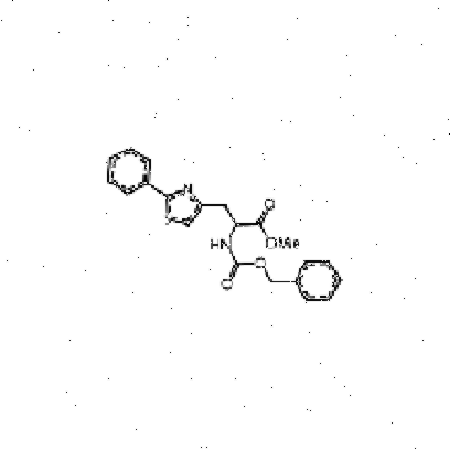 COC(=O)C(Cc1csc(-c2ccccc2)n1)NC(=O)OCc1ccccc1